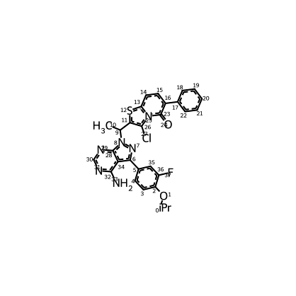 CC(C)Oc1ccc(-c2nn(C(C)c3sc4ccc(-c5ccccc5)c(=O)n4c3Cl)c3ncnc(N)c23)cc1F